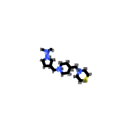 CN(C)N1CCC(CN2CCC(CN3CCSCC3)CC2)C1